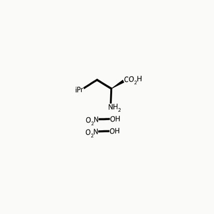 CC(C)C[C@H](N)C(=O)O.O=[N+]([O-])O.O=[N+]([O-])O